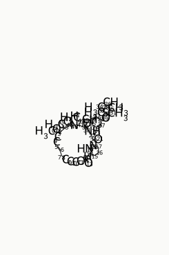 CO[C@@H]1CC/C=C/CCCCOC(=O)[C@@H]2CCCN(N2)C(=O)[C@H](Cc2cccc(O[Si](C)(C)C(C)(C)C)c2)NC(=O)[C@H](C(C)C)NC(=O)[C@@H]1C